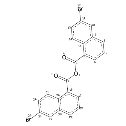 O=C(OC(=O)c1cccc2cc(Br)ccc12)c1cccc2cc(Br)ccc12